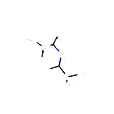 CCCC(NC(CCC)[SiH](OC)OC)[SiH](OC)OC